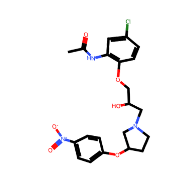 CC(=O)Nc1cc(Cl)ccc1OCC(O)CN1CCC(Oc2ccc([N+](=O)[O-])cc2)C1